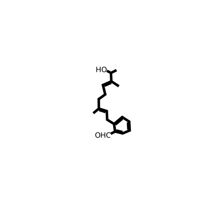 C/C(=C\Cc1ccccc1C=O)CC/C=C(\C)C(C)O